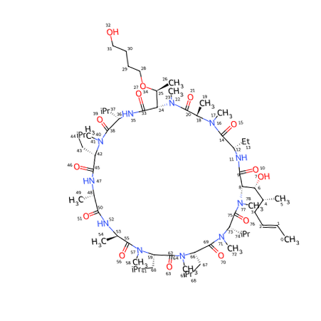 C/C=C/C[C@@H](C)[C@@H](O)[C@H]1C(=O)N[C@@H](CC)C(=O)N(C)[C@H](C)C(=O)N(C)[C@@H]([C@H](C)OCCCCO)C(=O)N[C@@H](C(C)C)C(=O)N(C)[C@@H](CC(C)C)C(=O)N[C@@H](C)C(=O)N[C@H](C)C(=O)N(C)[C@@H](CC(C)C)C(=O)N(C)[C@@H](CC(C)C)C(=O)N(C)[C@@H](C(C)C)C(=O)N1C